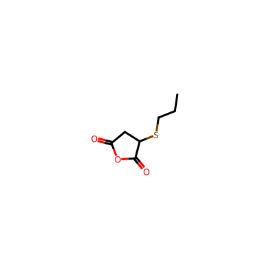 CCCSC1CC(=O)OC1=O